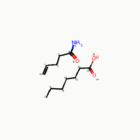 C=CCCC(N)=O.CCCCCCC(=O)O